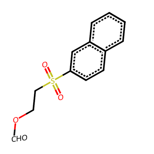 O=COCCS(=O)(=O)c1ccc2ccccc2c1